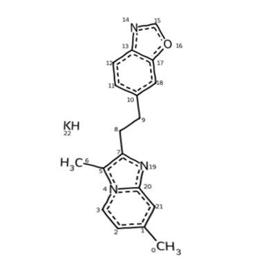 Cc1ccn2c(C)c(CCc3ccc4ncoc4c3)nc2c1.[KH]